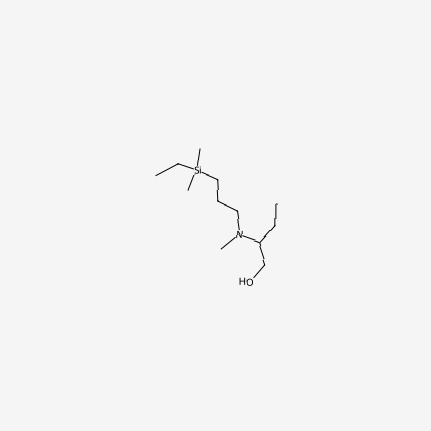 CCC(CO)N(C)CCC[Si](C)(C)CC